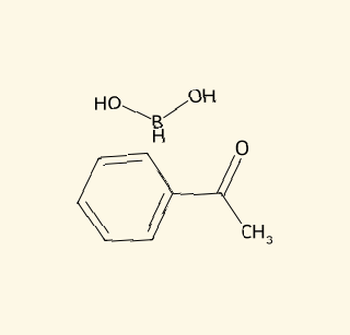 CC(=O)c1ccccc1.OBO